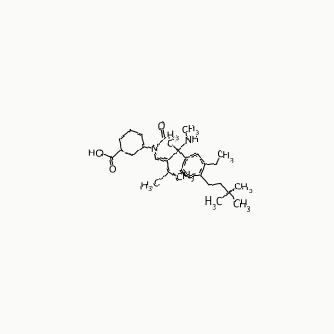 CCc1cc(C(C)(NC)/C(=C\N(C=O)C2CCCC(C(=O)O)C2)C(C)C)ccc1CCC(C)(C)C